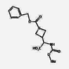 CC(C)(C)OC(=O)NC(C(=O)O)C1CN(C(=O)OCc2ccccc2)C1